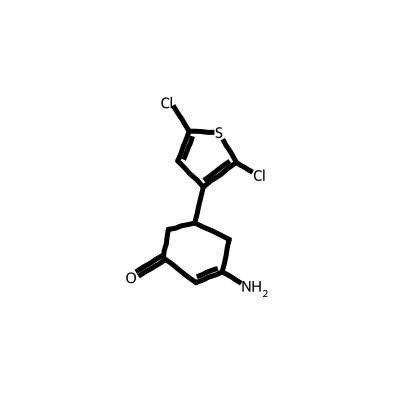 NC1=CC(=O)CC(c2cc(Cl)sc2Cl)C1